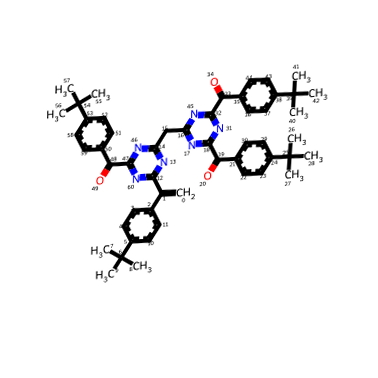 C=C(c1ccc(C(C)(C)C)cc1)c1nc(Cc2nc(C(=O)c3ccc(C(C)(C)C)cc3)nc(C(=O)c3ccc(C(C)(C)C)cc3)n2)nc(C(=O)c2ccc(C(C)(C)C)cc2)n1